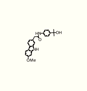 COc1ccc2c(c1)[nH]c1cc(CC(=O)Nc3ccc(C(C)(C)O)cc3)ccc12